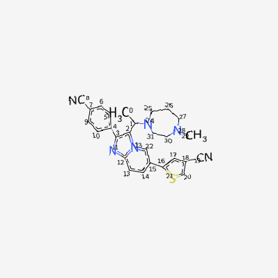 CC(c1c(-c2ccc(C#N)cc2)nc2ccc(-c3cc(C#N)cs3)cn12)N1CCCN(C)CC1